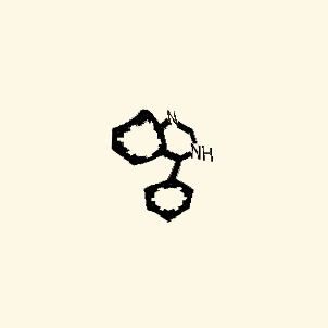 C1=Nc2ccccc2C(c2ccccc2)N1